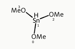 C[O][SnH]([O]C)[O]C